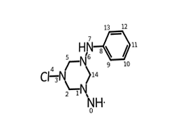 [NH]N1CN(Cl)CN(Nc2ccccc2)C1